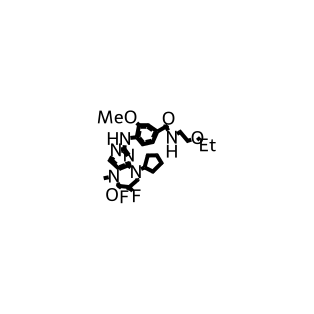 CCOCCNC(=O)c1ccc(Nc2ncc3c(n2)N(C2CCCC2)CC(F)(F)C(=O)N3C)c(OC)c1